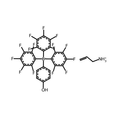 C=CC[NH3+].Oc1ccc([B-](c2c(F)c(F)c(F)c(F)c2F)(c2c(F)c(F)c(F)c(F)c2F)c2c(F)c(F)c(F)c(F)c2F)cc1